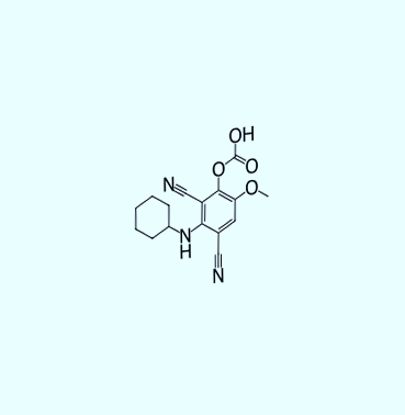 COc1cc(C#N)c(NC2CCCCC2)c(C#N)c1OC(=O)O